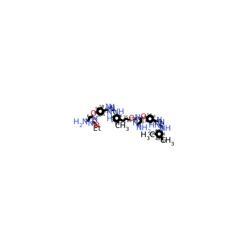 CCOc1nc(N)cc(Oc2ccc(-c3nnc(Nc4ccc(C)c(CCCOc5nc(N)cc(Oc6ccc(-c7nnc(Nc8cc(C)cc(C)c8)[nH]7)cc6)n5)c4)[nH]3)cc2)n1